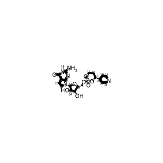 C[C@@]1(O)[C@H](O)[C@@H](COP2(=O)OCC[C@@H](c3ccncc3)O2)O[C@H]1n1ccc2c(=O)[nH]c(N)nc21